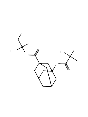 CCC(C)(I)C(=O)OC12CC3CC(C1)CC(C(=O)OC(CS(=O)(=O)O)(C(F)(F)F)C(F)(F)F)(C3)C2